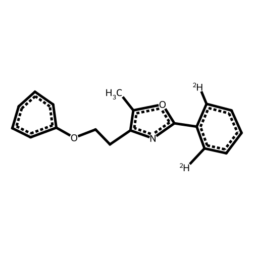 [2H]c1cccc([2H])c1-c1nc(CCOc2ccccc2)c(C)o1